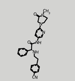 CN1CCN(c2ccc(NC(=O)[C@H](NCCc3ccc(C#N)cc3)c3ccccc3)cn2)CC1=O